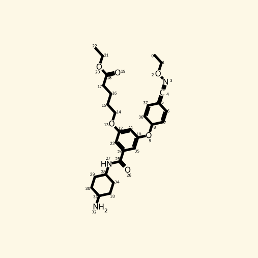 CCON=C=C1C=CC(Oc2cc(OCCCCC(=O)OCC)cc(C(=O)NC3CCC(N)CC3)c2)C=C1